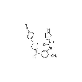 Cc1ccc(C(=O)N2CCC(c3ccc(C#N)cc3)CC2)cc1NC(=O)N[C@H]1CCNC1